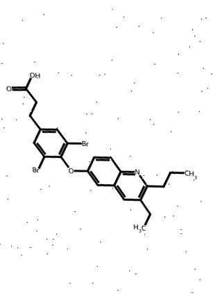 CCCc1nc2ccc(Oc3c(Br)cc(CCC(=O)O)cc3Br)cc2cc1CC